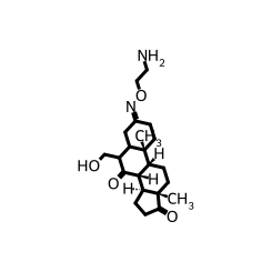 C[C@]12CCC(=NOCCN)CC1C(CO)C(=O)[C@@H]1[C@H]2CC[C@]2(C)C(=O)CC[C@@H]12